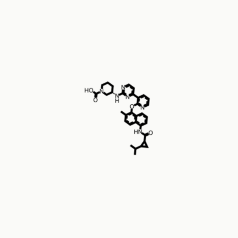 Cc1ccc2c(NC(=O)C3CC3C(C)C)cccc2c1Oc1ncccc1-c1ccnc(N[C@H]2CCCN(C(=O)O)C2)n1